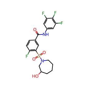 O=C(Nc1cc(F)c(F)c(F)c1)c1ccc(F)c(S(=O)(=O)N2CCCCC(O)C2)c1